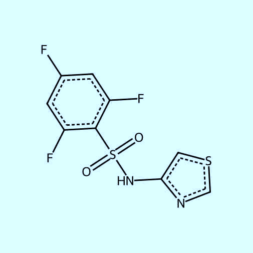 O=S(=O)(Nc1cscn1)c1c(F)cc(F)cc1F